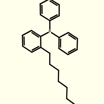 CCCCCCCc1ccccc1P(c1ccccc1)c1ccccc1